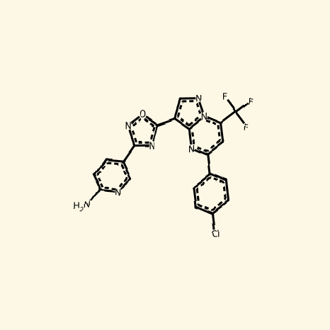 Nc1ccc(-c2noc(-c3cnn4c(C(F)(F)F)cc(-c5ccc(Cl)cc5)nc34)n2)cn1